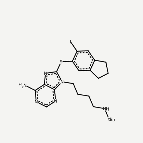 CC(C)(C)NCCCCn1c(Sc2cc3c(cc2I)CCC3)nc2c(N)ncnc21